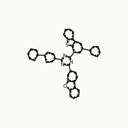 c1ccc(-c2ccc(-c3nc(-c4ccc5c(c4)oc4ccccc45)nc(-c4cc(-c5ccccc5)cc5c4sc4ccccc45)n3)cc2)cc1